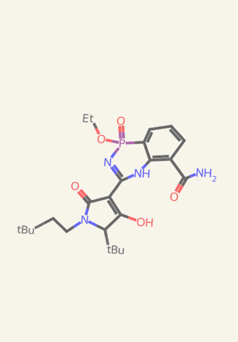 CCOP1(=O)N=C(C2=C(O)C(C(C)(C)C)N(CCC(C)(C)C)C2=O)Nc2c(C(N)=O)cccc21